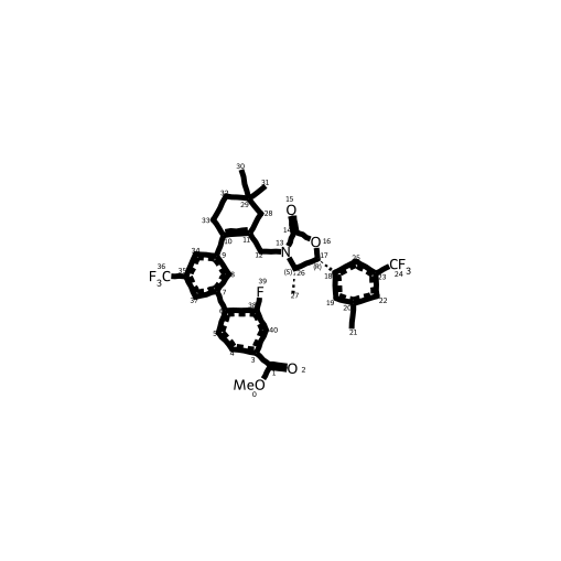 COC(=O)c1ccc(-c2cc(C3=C(CN4C(=O)O[C@H](c5cc(C)cc(C(F)(F)F)c5)[C@@H]4C)CC(C)(C)CC3)cc(C(F)(F)F)c2)c(F)c1